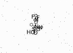 O=C(O)c1cc2c(s1)c(C1CCCCC1)c(-c1ccc3nc(-c4c(F)cccc4F)ccc3c1)n2CC(=O)N1CCCC1